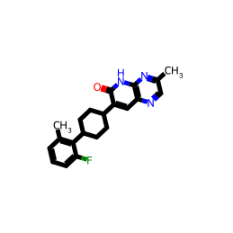 Cc1cnc2cc(C3CCC(c4c(C)cccc4F)CC3)c(=O)[nH]c2n1